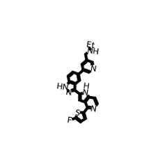 CCNCc1cncc(-c2ccc3[nH]nc(-c4cc5c(-c6ccc(F)s6)nccc5[nH]4)c3c2)c1